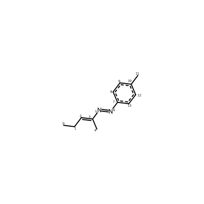 CC/C=C(\C)N=Nc1ccc(C)cc1